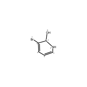 ON1NC=CC=C1Br